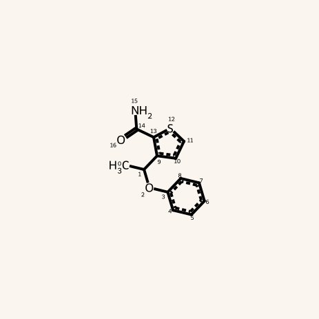 CC(Oc1ccccc1)c1ccsc1C(N)=O